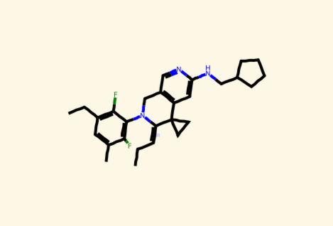 CC/C=C1\N(c2c(F)c(C)cc(CC)c2F)Cc2cnc(NCC3CCCC3)cc2C12CC2